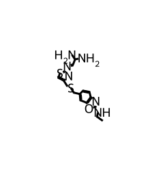 CCNc1nc2ccc(CSCc3csc(N=CC(N)N)n3)cc2o1